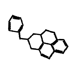 c1ccc(CC2Cc3ccc4cccc5c4c3C(CC5)C2)cc1